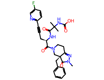 CN1N=C2CCN(C(=O)[C@@H](CC#Cc3ccc(F)cn3)NC(=O)C(C)(C)NC(=O)O)C[C@@]2(Cc2ccccc2)C1=O